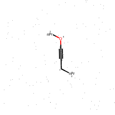 CCCCC#COCCC